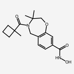 CC1(C(=O)N2Cc3ccc(C(=O)NO)cc3OCC2(C)C)CCC1